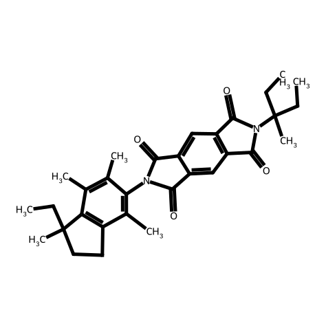 CCC1(C)CCc2c(C)c(-n3c(=O)c4cc5c(=O)n(C(C)(CC)CC)c(=O)c5cc4c3=O)c(C)c(C)c21